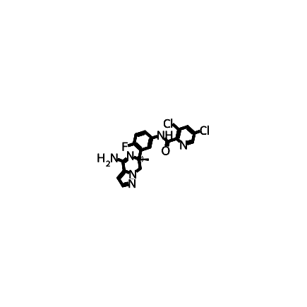 C[C@@]1(c2cc(NC(=O)c3ncc(Cl)cc3Cl)ccc2F)Cn2nccc2C(N)=N1